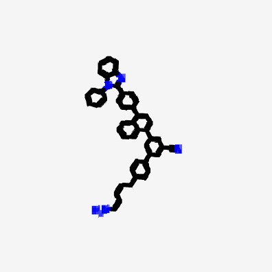 N#Cc1cc(-c2ccc(C/C=C\C=C/N)cc2)cc(-c2ccc(-c3ccc(-c4nc5ccccc5n4-c4ccccc4)cc3)c3ccccc23)c1